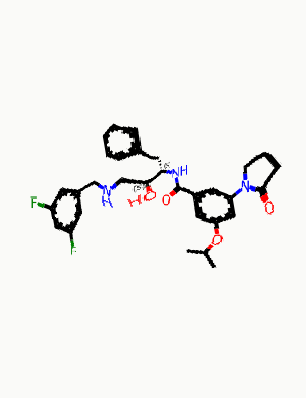 CC(C)Oc1cc(C(=O)N[C@@H](Cc2ccccc2)[C@@H](O)CNCc2cc(F)cc(F)c2)cc(N2CCCC2=O)c1